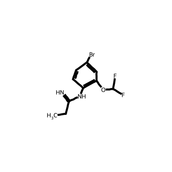 CCC(=N)Nc1ccc(Br)cc1OC(F)F